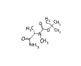 CC(C(N)=O)N(C)C(=O)OC(C)(C)C